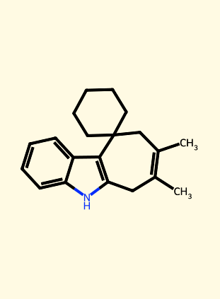 CC1=C(C)CC2(CCCCC2)c2c([nH]c3ccccc23)C1